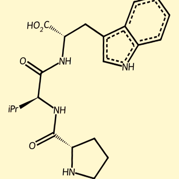 CC(C)[C@H](NC(=O)[C@@H]1CCCN1)C(=O)N[C@@H](Cc1c[nH]c2ccccc12)C(=O)O